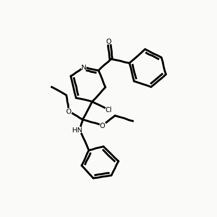 CCOC(Nc1ccccc1)(OCC)C1(Cl)C=CN=C(C(=O)c2ccccc2)C1